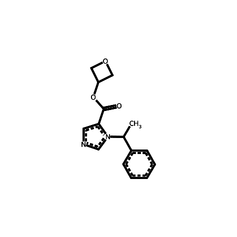 CC(c1ccccc1)n1cncc1C(=O)OC1COC1